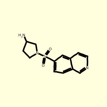 NC1CCN(S(=O)(=O)c2ccc3cnccc3c2)C1